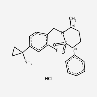 C[C@H]1CC[C@H](c2ccccc2)S(=O)(=O)N1Cc1ccc(C2(N)CC2)cc1F.Cl